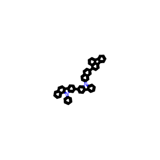 c1ccc(-n2c3cc(-c4ccc5c6ccccc6n(-c6ccc7ccc(-c8ccc9c%10c(cccc8%10)-c8ccccc8-9)cc7c6)c5c4)ccc3c3ccc4ccccc4c32)cc1